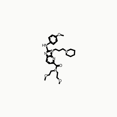 COCCN(CCOC)C(=O)c1ccc2nc(Nc3ccc(OC)cc3)n(CCCN3CCCCC3)c2n1